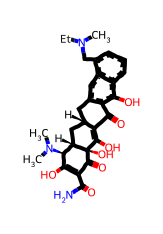 CCN(C)Cc1cccc2c(O)c3c(cc12)C[C@H]1C[C@H]2[C@H](N(C)C)C(O)=C(C(N)=O)C(=O)[C@@]2(O)C(O)=C1C3=O